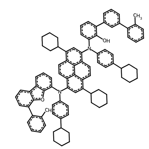 Cc1ccccc1-c1cccc(-c2cccc(N(c3ccc(C4CCCCC4)cc3)c3cc(C4CCCCC4)c4ccc5c(N(c6ccc(C7CCCCC7)cc6)c6cccc7c6oc6c(-c8ccccc8C)cccc67)cc(C6CCCCC6)c6ccc3c4c65)c2O)c1